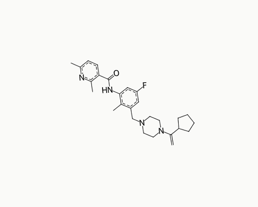 C=C(C1CCCC1)N1CCN(Cc2cc(F)cc(NC(=O)c3ccc(C)nc3C)c2C)CC1